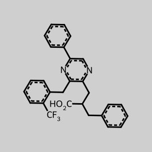 O=C(O)C(Cc1ccccc1)Cc1ncc(-c2ccccc2)nc1Cc1ccccc1C(F)(F)F